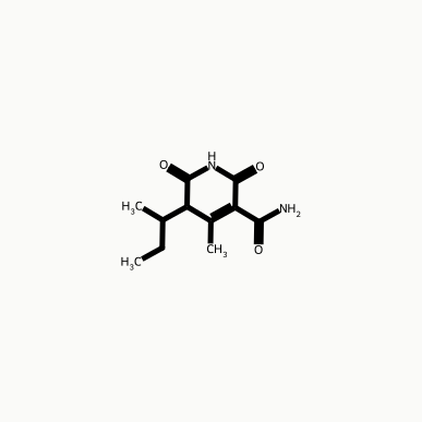 CCC(C)C1C(=O)NC(=O)C(C(N)=O)=C1C